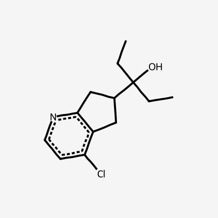 CCC(O)(CC)C1Cc2nccc(Cl)c2C1